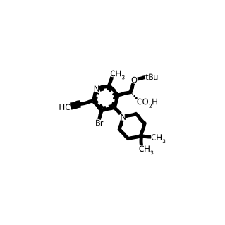 C#Cc1nc(C)c([C@H](OC(C)(C)C)C(=O)O)c(N2CCC(C)(C)CC2)c1Br